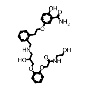 NC(=O)c1cc(OCCc2ccccc2CNCC(O)COc2ccccc2OCC(=O)NCCO)ccc1O